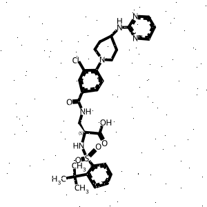 CC(C)(C)c1ccccc1S(=O)(=O)N[C@@H](CNC(=O)c1ccc(N2CCC(Nc3ncccn3)CC2)c(Cl)c1)C(=O)O